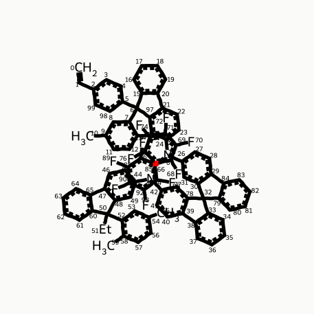 C=Cc1ccc(C2(c3cc(C)ccc3C)c3ccccc3-c3ccc(N(c4ccc5c(c4)C4(c6ccccc6-c6ccc(N(c7ccc8c(c7)C(CC)(c7cc(C)ccc7C)c7ccccc7-8)c7c(F)c(F)c(F)c(F)c7F)cc64)c4ccccc4-5)c4c(F)c(F)c(F)c(F)c4F)cc32)cc1